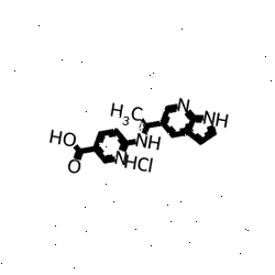 C[C@H](Nc1ccc(C(=O)O)cn1)c1cnc2[nH]ccc2c1.Cl